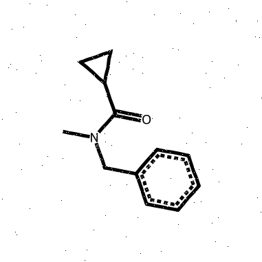 CN(Cc1ccccc1)C(=O)C1CC1